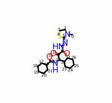 CN1CCS/C1=N\NC(=O)C(=O)C(NC(=O)C1CCCCC1)C1CCCCC1